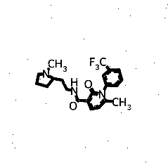 Cc1ccc(C(=O)NCCC2CCCN2C)c(=O)n1-c1cccc(C(F)(F)F)c1